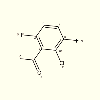 CC(=O)c1c(F)ccc(F)c1Cl